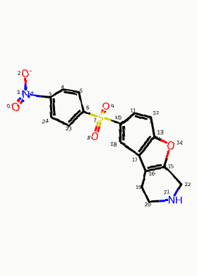 O=[N+]([O-])c1ccc(S(=O)(=O)c2ccc3oc4c(c3c2)CCNC4)cc1